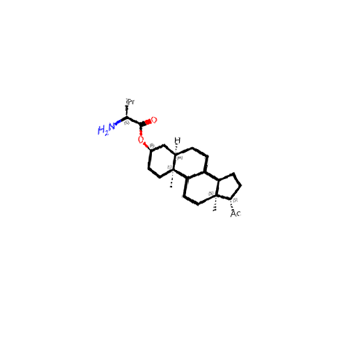 CC(=O)[C@H]1CCC2C3CC[C@@H]4C[C@H](OC(=O)[C@@H](N)C(C)C)CC[C@]4(C)C3CC[C@@]21C